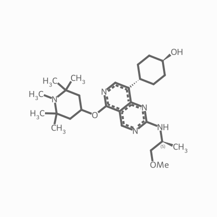 COC[C@H](C)Nc1ncc2c(OC3CC(C)(C)N(C)C(C)(C)C3)ncc([C@H]3CC[C@H](O)CC3)c2n1